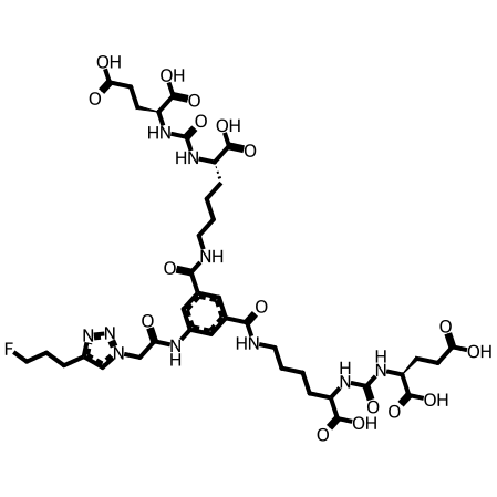 O=C(O)CC[C@H](NC(=O)NC(CCCCNC(=O)c1cc(NC(=O)Cn2cc(CCCF)nn2)cc(C(=O)NCCCC[C@H](NC(=O)N[C@@H](CCC(=O)O)C(=O)O)C(=O)O)c1)C(=O)O)C(=O)O